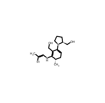 CC/C(C)=C\NC1=C(CO)C(N2CCC[C@H]2CO)=CC[C@@H]1C